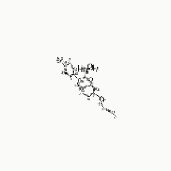 CC#CCOc1ccc(SC(C(=O)NO)c2ccc(Br)cc2)cc1